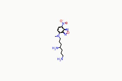 CN(CCCC(N)CCCN)c1ccc([N+](=O)[O-])c2nonc12